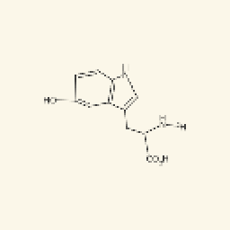 [2H]NC(Cc1c[nH]c2ccc(O)cc12)C(=O)O